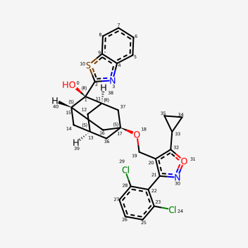 O[C@@]1(c2nc3ccccc3s2)[C@@H]2C[C@@H]3C[C@H]1C[C@@](OCc1c(-c4c(Cl)cccc4Cl)noc1C1CC1)(C3)C2